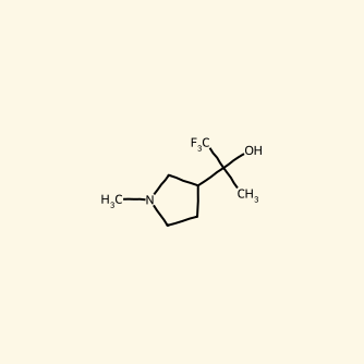 CN1CCC(C(C)(O)C(F)(F)F)C1